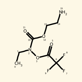 CCN(OC(=O)C(F)(F)F)C(=O)OCCN